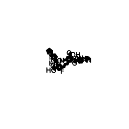 N#Cc1cc(C(=O)O)c(NC(=O)c2ccc(-n3ccnc3)nn2)cc1CCCc1cc(NC(=O)c2ccc(-n3cccc3)nn2)c(C(=O)O)cc1F